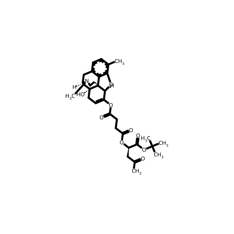 CC(=O)C[C@@H](OC(=O)CCC(=O)OC1=CC[C@@]2(O)[C@H]3Cc4ccc(C)c5c4[C@@]2(CCN3C)[C@H]1O5)C(=O)OC(C)(C)C